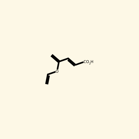 C=COC(=C)C=CC(=O)O